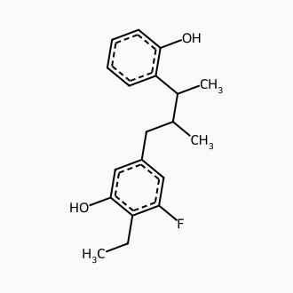 CCc1c(O)cc(CC(C)C(C)c2ccccc2O)cc1F